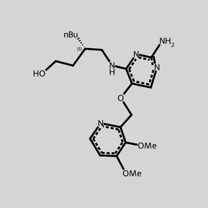 CCCC[C@@H](CCO)CNc1nc(N)ncc1OCc1nccc(OC)c1OC